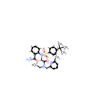 CCN(Cc1cccc(C)n1)C(=O)CN(c1ccccc1C(N)=O)S(=O)(=O)c1ccc(C(C)(C)C)cc1